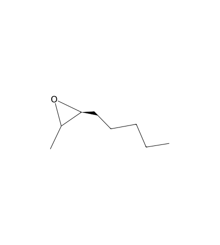 CCCCC[C@@H]1OC1C